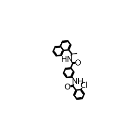 C[C@@H](NC(=O)c1cccc(NC(=O)c2ccccc2Cl)c1)c1cccc2ccccc12